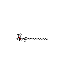 C=CC(=O)OC.C=CC(=O)OCCCCCCCCCCCCCCCCCC.CC12CCC(CC1=O)C2(C)C